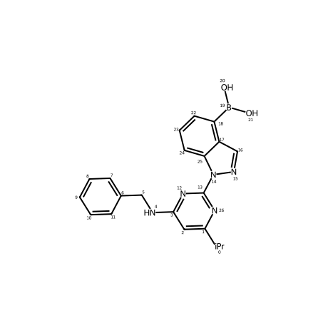 CC(C)c1cc(NCc2ccccc2)nc(-n2ncc3c(B(O)O)cccc32)n1